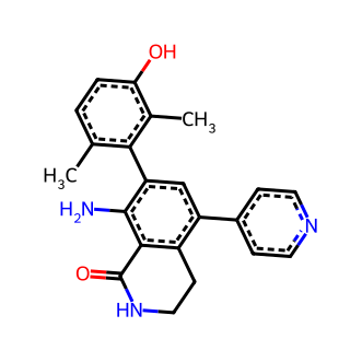 Cc1ccc(O)c(C)c1-c1cc(-c2ccncc2)c2c(c1N)C(=O)NCC2